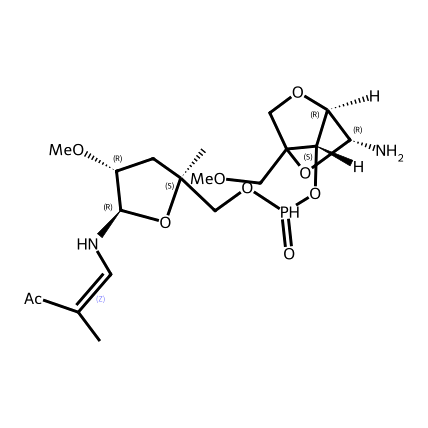 COCC12CO[C@@H]([C@H](N)O1)[C@@H]2O[PH](=O)OC[C@]1(C)C[C@@H](OC)[C@H](N/C=C(/C)C(C)=O)O1